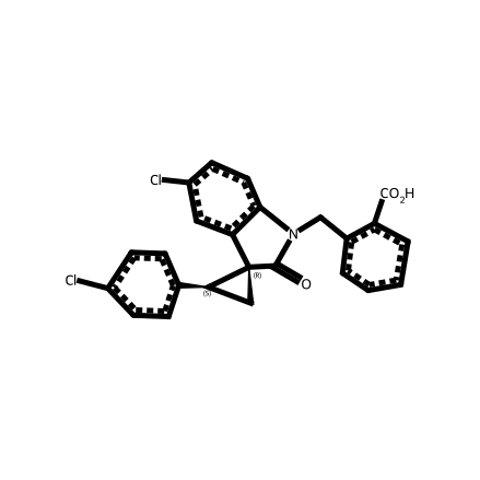 O=C(O)c1ccccc1CN1C(=O)[C@@]2(C[C@H]2c2ccc(Cl)cc2)c2cc(Cl)ccc21